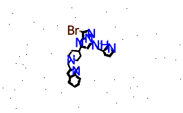 Cn1c(CN2CCC(c3cc(NCc4cccnc4)n4ncc(Br)c4n3)CC2)cc2ccccc21